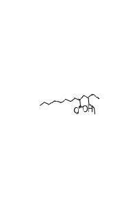 CCCCCCCCC(CC(CC)CCC)C(=O)O